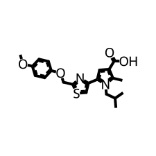 COc1ccc(OCc2nc(-c3cc(C(=O)O)c(C)n3CC(C)C)cs2)cc1